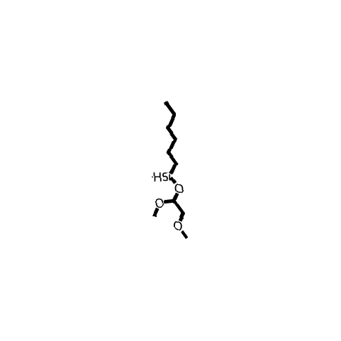 CCCCCC[SiH]OC(COC)OC